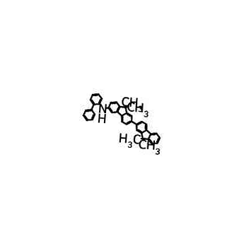 CC1(C)c2ccccc2-c2ccc(-c3ccc4c(c3)C(C)(C)c3ccc(Nc5ccccc5-c5ccccc5)cc3-4)cc21